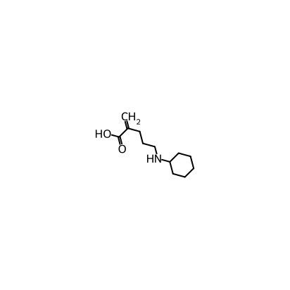 C=C(CCCNC1CCCCC1)C(=O)O